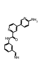 N=Cc1cccc(NC(=O)c2cc(-c3ccc(N)nc3)ccn2)c1